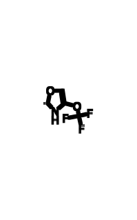 FC(F)(F)OC1=CO[CH]N1